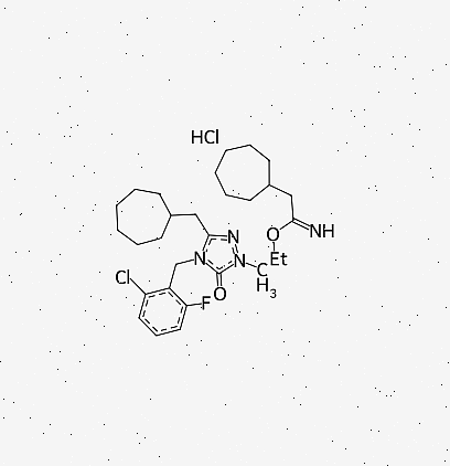 CCOC(=N)CC1CCCCCC1.Cl.Cn1nc(CC2CCCCCC2)n(Cc2c(F)cccc2Cl)c1=O